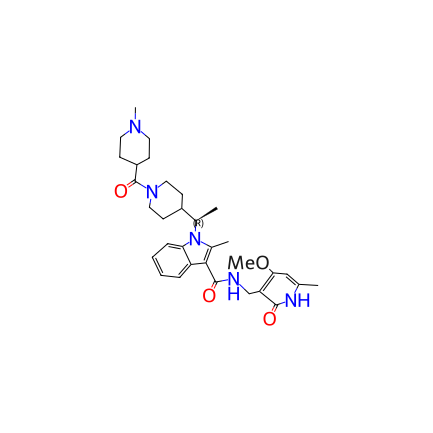 COc1cc(C)[nH]c(=O)c1CNC(=O)c1c(C)n([C@H](C)C2CCN(C(=O)C3CCN(C)CC3)CC2)c2ccccc12